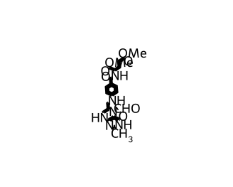 COC(=O)CCC(NC(=O)c1ccc(NCC2CNc3nc(C)[nH]c(=O)c3N2C=O)cc1)C(=O)OC